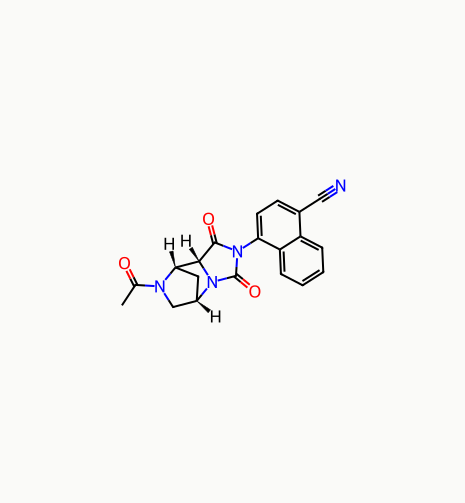 CC(=O)N1C[C@@H]2C[C@H]1[C@@H]1C(=O)N(c3ccc(C#N)c4ccccc34)C(=O)N21